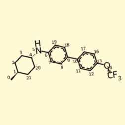 C[C@H]1CC[C@H](Nc2ccc(-c3ccc(OC(F)(F)F)cc3)cc2)CC1